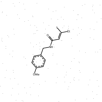 CCC(I)=CC(=O)NCc1ccc(OC)cc1